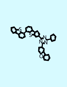 c1ccc(-c2nc(-c3ccc4c(c3)sc3c(-c5cccc6c5sc5ccccc56)cccc34)nc(-c3ccc4oc5ccccc5c4c3)n2)cc1